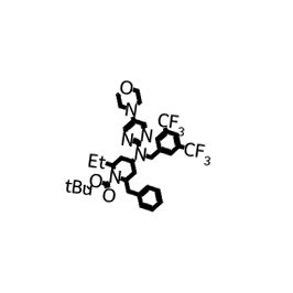 CCC1CC(N(Cc2cc(C(F)(F)F)cc(C(F)(F)F)c2)c2ncc(N3CCOCC3)cn2)CC(Cc2ccccc2)N1C(=O)OC(C)(C)C